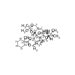 CC1=C[C@]23C(=O)[C@@H](C=C4COC(C)(C)O[C@H]4[C@]2(O)[C@H]1OC(=O)C1(C#N)CCCCC1)[C@H]1[C@@H](C[C@H]3C)C1(C)C